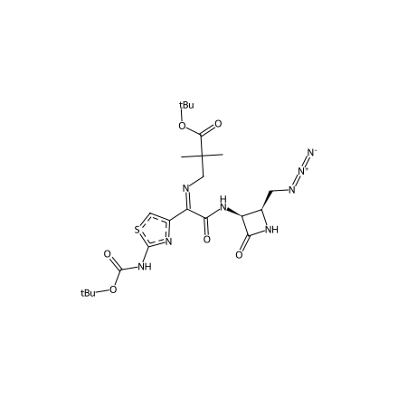 CC(C)(C)OC(=O)Nc1nc(/C(=N/CC(C)(C)C(=O)OC(C)(C)C)C(=O)N[C@@H]2C(=O)N[C@@H]2CN=[N+]=[N-])cs1